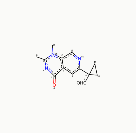 Cc1nc(=O)c2cc(C3(C=O)CC3)ncc2n1C